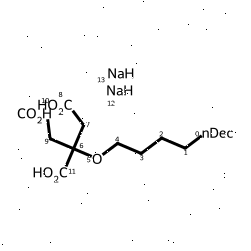 CCCCCCCCCCCCCCOC(CC(=O)O)(CC(=O)O)C(=O)O.[NaH].[NaH]